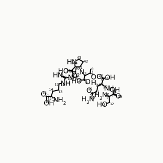 CC(O)C(N)C(=O)O.N=C(N)NCCCC(N)C(=O)O.NC(=O)CCC(N)C(=O)O.NC(CO)C(=O)O.O=C(O)C1CCCN1